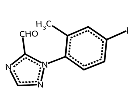 Cc1cc(I)ccc1-n1ncnc1C=O